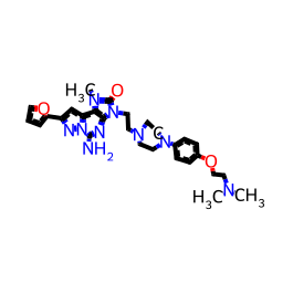 CN(C)CCOc1ccc(N2CCN(CCn3c(=O)n(C)c4c3nc(N)n3nc(-c5ccco5)cc43)CC2)cc1